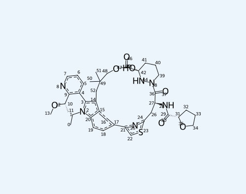 CCn1c(-c2cccnc2[C@H](C)OC)c2c3cc(ccc31)-c1csc(n1)C[C@H](NC(=O)[C@@H]1CCCO1)C(=O)N1CCC[C@@](O)(N1)C(=O)OCC(C)(C)C2